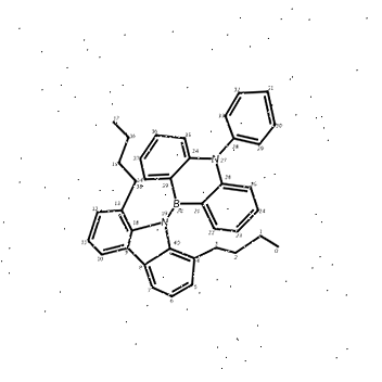 CCCCc1cccc2c3cccc(CCCC)c3n(B3c4ccccc4N(c4ccccc4)c4ccccc43)c12